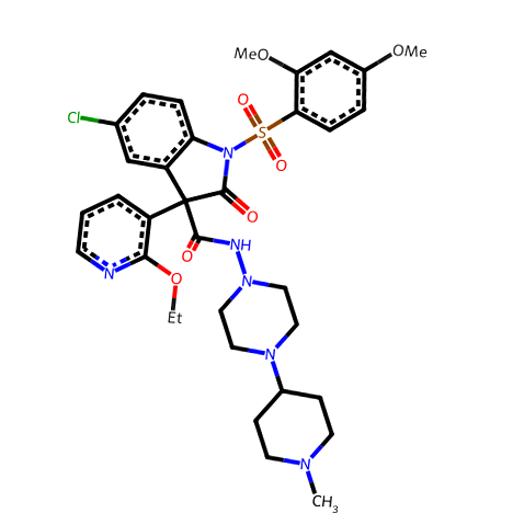 CCOc1ncccc1C1(C(=O)NN2CCN(C3CCN(C)CC3)CC2)C(=O)N(S(=O)(=O)c2ccc(OC)cc2OC)c2ccc(Cl)cc21